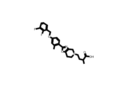 Cc1cc(OCc2cccc(F)c2F)ccc1-c1nc2c(o1)CCN(CCC(C)C(=O)O)C2